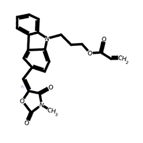 C=CC(=O)OCCCn1c2ccccc2c2cc(/C=C3/OC(=O)N(C)C3=O)ccc21